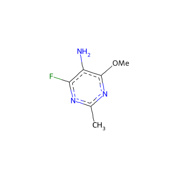 COc1nc(C)nc(F)c1N